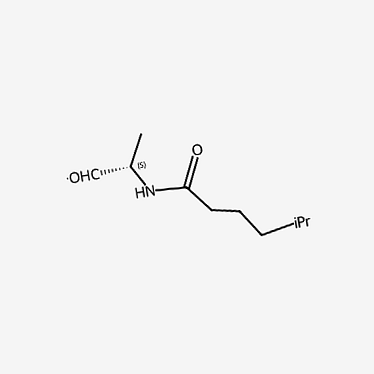 CC(C)CCCC(=O)N[C@@H](C)[C]=O